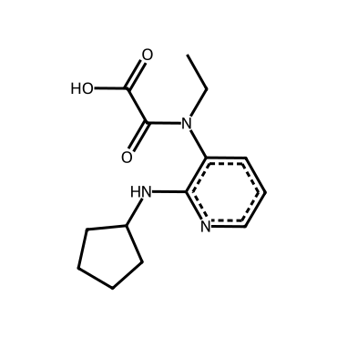 CCN(C(=O)C(=O)O)c1cccnc1NC1CCCC1